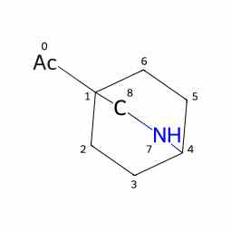 CC(=O)C12CCC(CC1)NC2